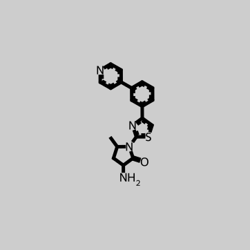 CC1CC(N)C(=O)N1c1nc(-c2cccc(-c3ccncc3)c2)cs1